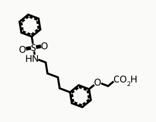 O=C(O)COc1cccc(CCCCNS(=O)(=O)c2ccccc2)c1